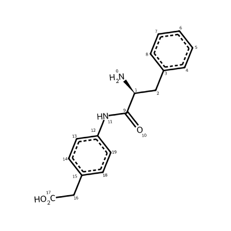 N[C@@H](Cc1ccccc1)C(=O)Nc1ccc(CC(=O)O)cc1